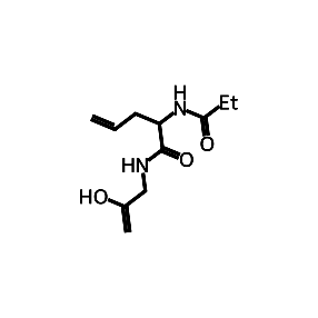 C=CCC(NC(=O)CC)C(=O)NCC(=C)O